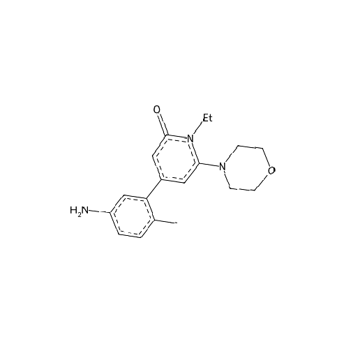 CCn1c(N2CCOCC2)cc(-c2cc(N)ccc2C)cc1=O